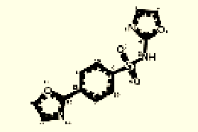 O=S(=O)(Nc1ncco1)c1ccc(-c2ncco2)cc1